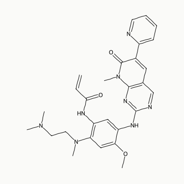 C=CC(=O)Nc1cc(Nc2ncc3cc(-c4ccccn4)c(=O)n(C)c3n2)c(OC)cc1N(C)CCN(C)C